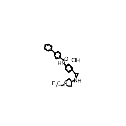 Cl.O=C(Nc1ccc(C2CC2NC2CCN(CC(F)(F)F)CC2)cc1)c1ccc(-c2ccccc2)cc1